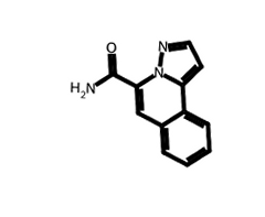 NC(=O)c1cc2ccccc2c2ccnn12